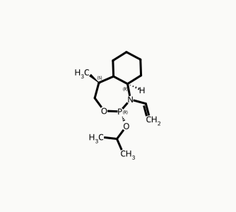 C=CN1[C@@H]2CCCCC2[C@H](C)CO[P@@]1OC(C)C